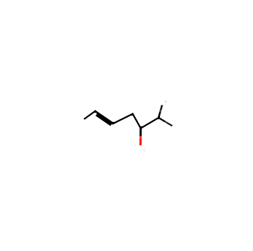 [CH2]/C=C/CC(O)C(CCC)CCC